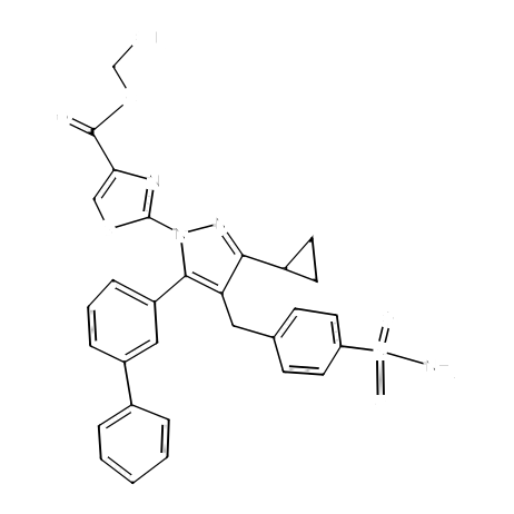 CCOC(=O)c1csc(-n2nc(C3CC3)c(Cc3ccc(S(N)(=O)=O)cc3)c2-c2cccc(-c3ccccc3)c2)n1